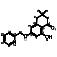 CC1(C)CC(=O)c2c(O)cc(OCc3ccccn3)cc2C1